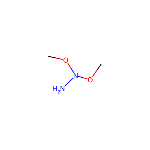 CON(N)OC